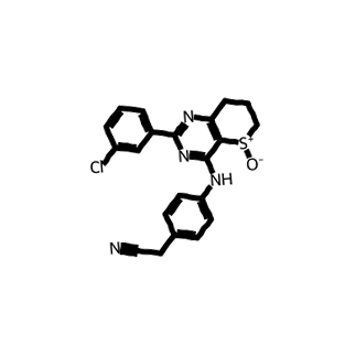 N#CCc1ccc(Nc2nc(-c3cccc(Cl)c3)nc3c2[S+]([O-])CCC3)cc1